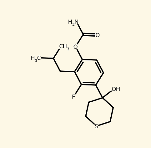 CC(C)Cc1c(OC(N)=O)ccc(C2(O)CCSCC2)c1F